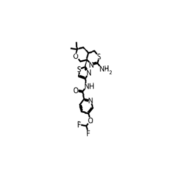 CC1(C)CC2CSC(N)=N[C@]2(c2nc(NC(=O)c3ccc(OC(F)F)cn3)cs2)CO1